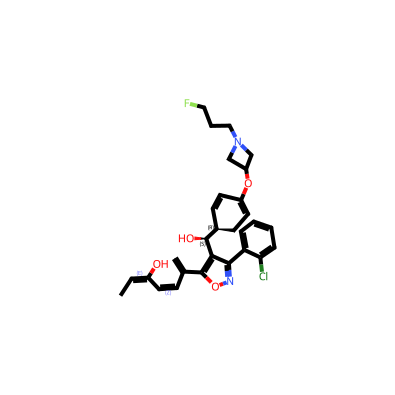 C=C(/C=C\C(O)=C/C)c1onc(-c2ccccc2Cl)c1[C@@H](O)[C@H]1C=CC(OC2CN(CCCF)C2)=CC1